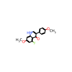 COc1ccc(-c2c[nH]c3cc(OC)cc(F)c3c2=O)cc1